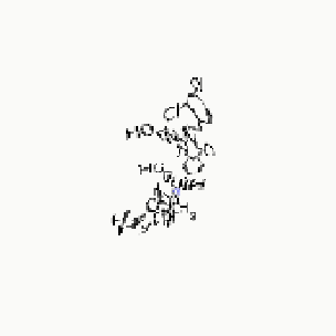 C[C@@H]1C(/N=C(/Nc2ccc3c(=O)n(CCc4ccc(Cl)cc4Cl)c(N4CC(O)C4)nc3c2)N2CC(O)C2)C[C@@H]2C[C@H]1C2(C)C